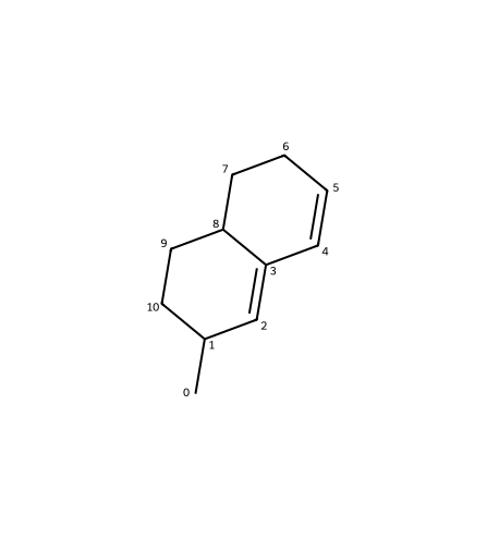 CC1C=C2C=CCCC2CC1